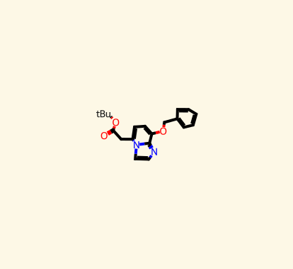 CC(C)(C)OC(=O)Cc1ccc(OCc2ccccc2)c2nccn12